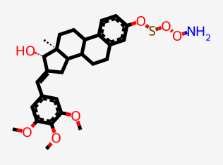 COc1cc(/C=C2\CC3C4CCc5cc(OSOON)ccc5C4CC[C@]3(C)[C@H]2O)cc(OC)c1OC